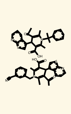 CC(=O)C1=C(C)N(C(C)(C)c2ccccc2)C(C)=C(C(=O)O)C1c1csc2ncccc12.CC(=O)C1=C(C)N(Cc2cccc(C#N)c2)C(C)=C(C(=O)O)C1c1csc2ncccc12